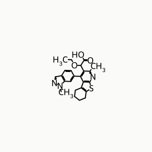 CCOC(C(=O)O)c1c(C)nc2sc3c(c2c1-c1ccc2cnn(C)c2c1)CCCC3